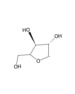 OCC1O[CH][C@@H](O)[C@@H]1O